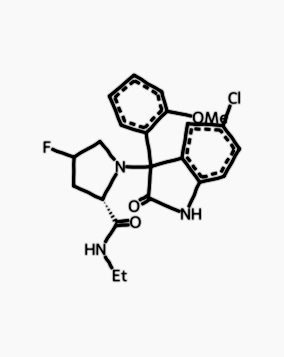 CCNC(=O)[C@@H]1CC(F)CN1C1(c2ccccc2OC)C(=O)Nc2ccc(Cl)cc21